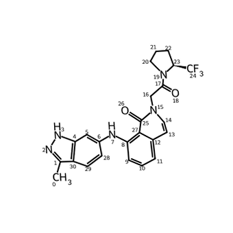 Cc1n[nH]c2cc(Nc3cccc4ccn(CC(=O)N5CCC[C@H]5C(F)(F)F)c(=O)c34)ccc12